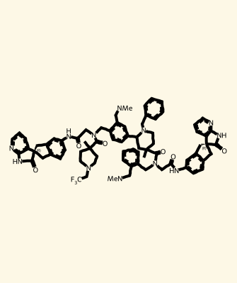 CNCc1cc(C2CC(C)(C(=O)N(CC(=O)Nc3ccc4c(c3)C[C@@]3(C4)C(=O)Nc4ncccc43)Cc3ccccc3CNC)CCN2Cc2ccccc2)ccc1CN(CC(=O)Nc1ccc2c(c1)C[C@@]1(C2)C(=O)Nc2ncccc21)C(=O)C1(C)CCN(CC(F)(F)F)CC1